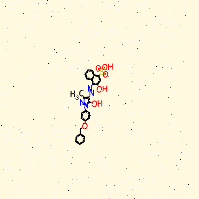 Cc1nn(-c2ccc(OCc3ccccc3)cc2)c(O)c1/N=N/c1c(O)cc(S(=O)(=O)O)c2ccccc12